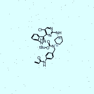 C=CC(=O)Nc1ccc(CN(C(=O)OC(C)(C)C)[C@H]2CCC[C@@H](Nc3ncc(Cl)c(-c4n[nH]c5ccccc45)n3)C2)cc1